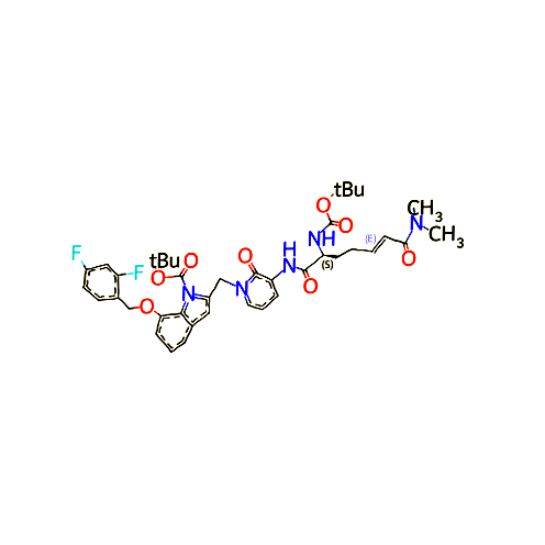 CN(C)C(=O)/C=C/CC[C@H](NC(=O)OC(C)(C)C)C(=O)Nc1cccn(Cc2cc3cccc(OCc4ccc(F)cc4F)c3n2C(=O)OC(C)(C)C)c1=O